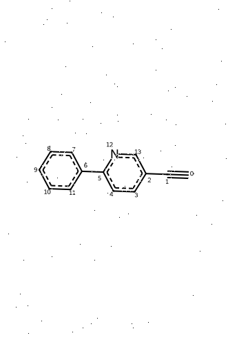 C#Cc1ccc(-c2ccccc2)nc1